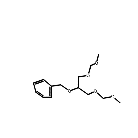 COCOCC(COCOC)OCc1ccccc1